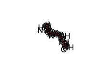 Cn1nc(N2CCC(=O)NC2=O)c2cc(F)c(N3CCC(O)(CC(=O)N4CCC5(CC4)C[C@@H](n4cnc6ccc(Oc7c(F)ccc(NS(=O)(=O)C8CCC8)c7C#N)cc6c4=O)CO5)CC3)cc21